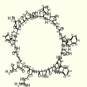 CCCC[C@H]1C(=O)N(C)[C@@H](CCCC)C(=O)N[C@@H](CCCNC(=N)N)C(=O)N[C@H](C(=O)NCC(N)=O)CSCC(=O)N[C@@H](Cc2ccco2)C(=O)N(C)[C@@H](C)C(=O)N[C@@H](CC(N)=O)C(=O)N2CCC[C@H]2C(=O)N[C@@H](Cc2cnc[nH]2)C(=O)N[C@@H](CC(C)C)C(=O)N(C)CC(=O)N[C@@H](Cc2c[nH]c3ccccc23)C(=O)N[C@@H](CO)C(=O)N[C@@H](Cc2c[nH]c3ccccc23)C(=O)N1C